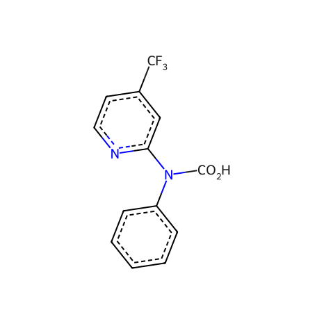 O=C(O)N(c1ccccc1)c1cc(C(F)(F)F)ccn1